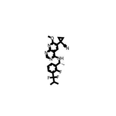 COc1nc2ncnc(N[C@H](C)c3cccc(C(F)(F)C(C)C)c3F)c2cc1C1(C#N)CC1